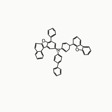 C1=CC(c2cccc3c2oc2ccccc23)CC=C1N(c1ccc(-c2ccccc2)cc1)c1cc(-c2ccccc2)c2oc3ccc4ccccc4c3c2c1